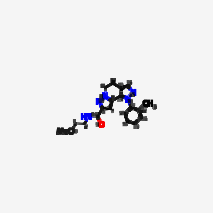 COCCNC(=O)c1cc2n(n1)CCc1cnn(-c3ccccc3C)c1-2